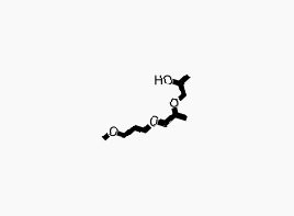 COCCCOCC(C)OCC(C)O